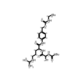 CC(C)C(NC(=O)C(C)(C)C)C(=O)NC(CCCNC(N)O)C(=O)Nc1ccc(COC(=O)NCC(C)(C)C)cc1